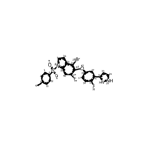 Cc1ccc(S(=O)(=O)n2ccc3c(Br)c(Oc4ccc(F)c(-c5cc[nH]n5)c4)c(F)cc32)cc1